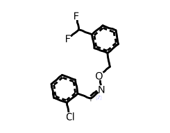 FC(F)c1cccc(CO/N=[C]\c2ccccc2Cl)c1